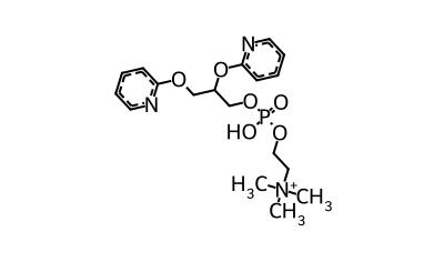 C[N+](C)(C)CCOP(=O)(O)OCC(COc1ccccn1)Oc1ccccn1